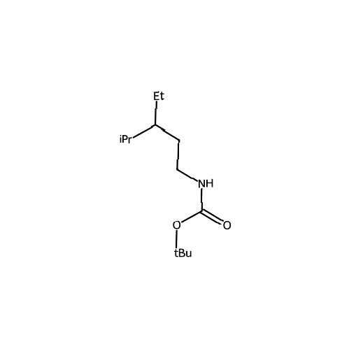 CCC(CCNC(=O)OC(C)(C)C)C(C)C